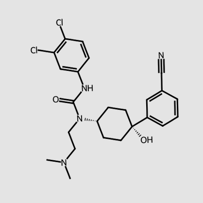 CN(C)CCN(C(=O)Nc1ccc(Cl)c(Cl)c1)[C@H]1CC[C@](O)(c2cccc(C#N)c2)CC1